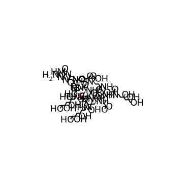 Nc1nc2ncc(CN(C(=O)C(F)(F)F)c3ccc(C(=O)N[C@H](CCC(=O)N[C@@H](CCC(=O)NCC[C@@H](O)C[C@H](O)CO)C(=O)N[C@H](CCC(=O)O)C(=O)N[C@@H](CCC(=O)NCC[C@@H](O)C[C@H](O)CO)C(=O)N[C@H](CCC(=O)O)C(=O)N[C@@H](CCC(=O)NC[C@H](O)[C@@H](O)C[C@H](O)CO)C(=O)N[C@H](CS)C(=O)O)C(=O)O)cc3)nc2c(=O)[nH]1